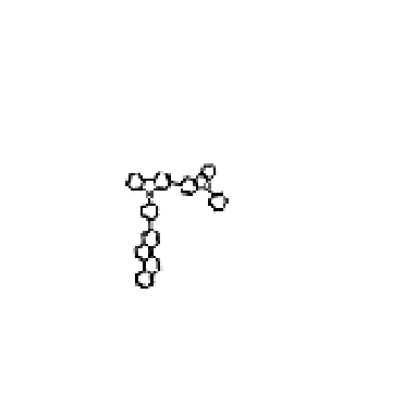 C1=CC(n2c3c(c4cc(-c5ccc6c7ccccc7n(C7=CC=C(c8ccc9c(ccc%10c%11ccccc%11ccc9%10)c8)CC7)c6c5)ccc42)C=CC3)=CCC1